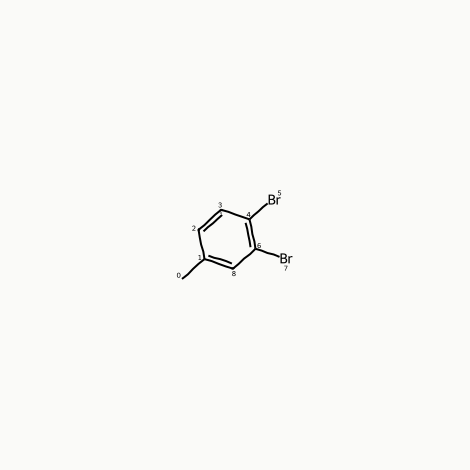 Cc1c[c]c(Br)c(Br)c1